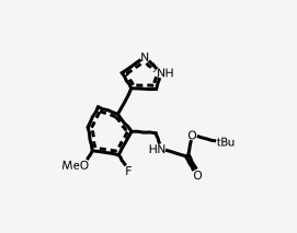 COc1ccc(-c2cn[nH]c2)c(CNC(=O)OC(C)(C)C)c1F